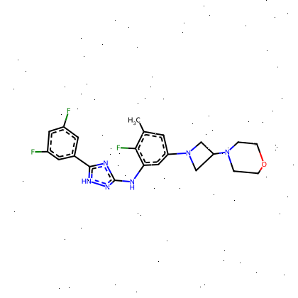 Cc1cc(N2CC(N3CCOCC3)C2)cc(Nc2n[nH]c(-c3cc(F)cc(F)c3)n2)c1F